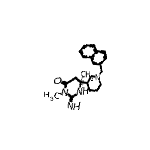 CN1C(=N)N[C@](C)(C2CCCN(Cc3ccc4ccccc4c3)C2)CC1=O